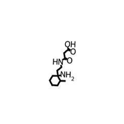 CC1CCCCC1(N)CCNC(=O)CC(=O)O